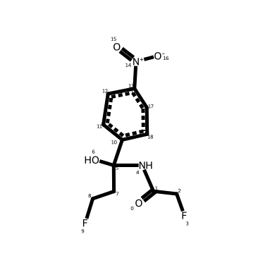 O=C(CF)NC(O)(CCF)c1ccc([N+](=O)[O-])cc1